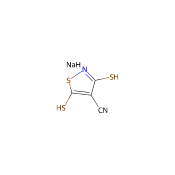 N#Cc1c(S)nsc1S.[NaH]